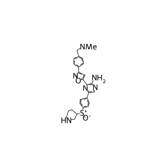 CNCc1ccc(-c2cc(-c3nc(-c4ccc([S+]([O-])C5CCCNC5)cc4)cnc3N)on2)cc1